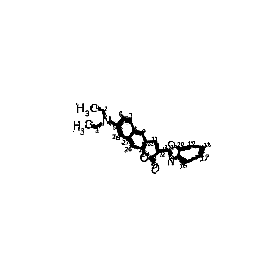 CCN(CC)c1ccc2cc3cc(-c4nc5ccccc5o4)c(=O)oc3cc2c1